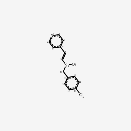 [O-][S+](C=Cc1ccncc1)Cc1ccc(Cl)cc1